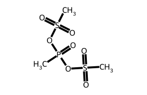 CP(=O)(OS(C)(=O)=O)OS(C)(=O)=O